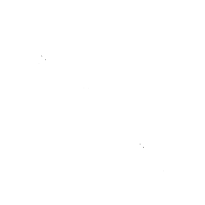 NC/C(=C/F)COc1ccc2c(c1)CCN(C1CC1)C2